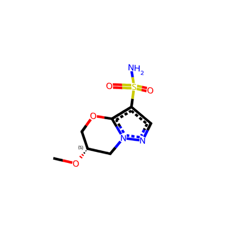 CO[C@@H]1COc2c(S(N)(=O)=O)cnn2C1